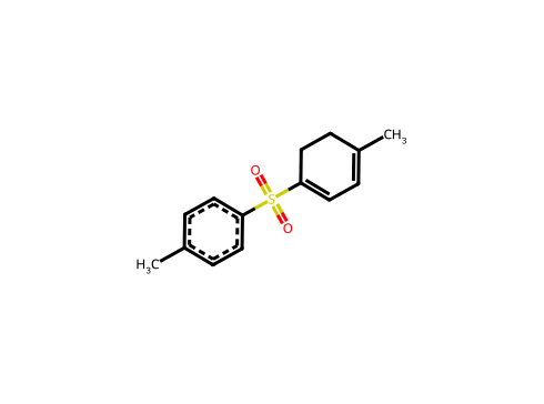 CC1=CC=C(S(=O)(=O)c2ccc(C)cc2)CC1